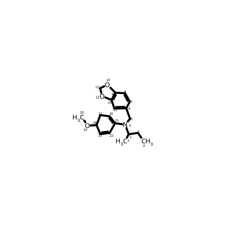 CCC(C)N(Cc1ccc2c(c1)OCO2)C1=CCC(OC)C=C1